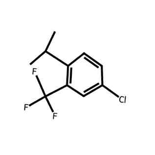 CC(C)c1ccc(Cl)cc1C(F)(F)F